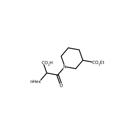 CCCCCCC(C(=O)O)C(=O)N1CCCC(C(=O)OCC)C1